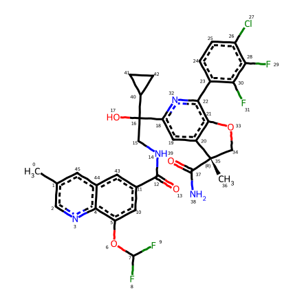 Cc1cnc2c(OC(F)F)cc(C(=O)NCC(O)(c3cc4c(c(-c5ccc(Cl)c(F)c5F)n3)OC[C@]4(C)C(N)=O)C3CC3)cc2c1